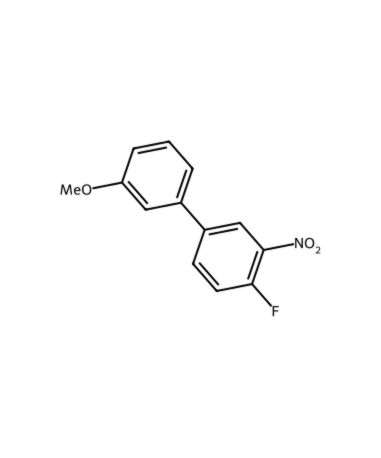 COc1cccc(-c2ccc(F)c([N+](=O)[O-])c2)c1